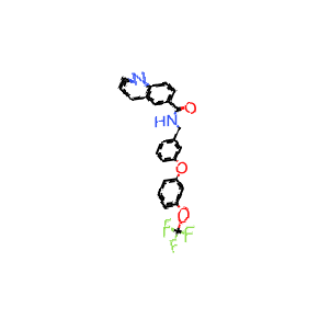 O=C(NCc1cccc(Oc2cccc(OC(F)(F)F)c2)c1)c1ccc2ncccc2c1